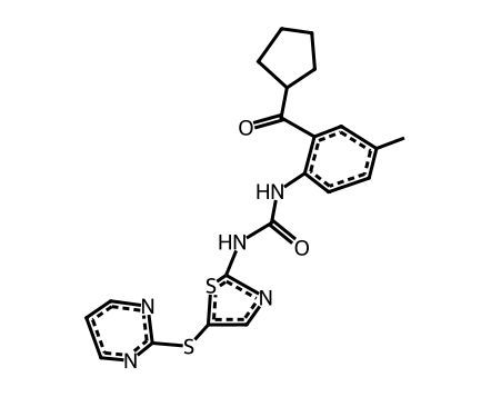 Cc1ccc(NC(=O)Nc2ncc(Sc3ncccn3)s2)c(C(=O)C2CCCC2)c1